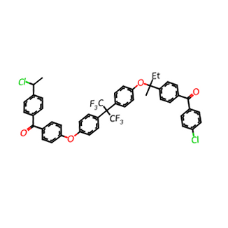 CCC(C)(Oc1ccc(C(c2ccc(Oc3ccc(C(=O)c4ccc(C(C)Cl)cc4)cc3)cc2)(C(F)(F)F)C(F)(F)F)cc1)c1ccc(C(=O)c2ccc(Cl)cc2)cc1